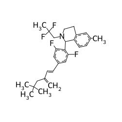 C=C(/C=C/c1cc(F)c(C2c3ccc(C)cc3CCN2CC(C)(F)F)c(F)c1)CC(C)(C)C